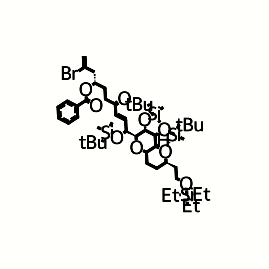 C=C(Br)C[C@H](CCC(=O)/C=C/C(O[Si](C)(C)C(C)(C)C)[C@@H]1OC2CC[C@H](CCO[Si](CC)(CC)CC)O[C@@H]2C(O[Si](C)(C)C(C)(C)C)[C@@H]1O[Si](C)(C)C(C)(C)C)OC(=O)c1ccccc1